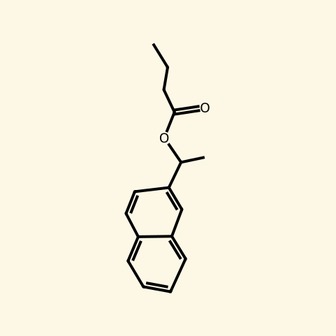 CCCC(=O)OC(C)c1ccc2ccccc2c1